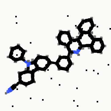 N#Cc1ccc2c3cc(-c4cccc(-c5nc6c7ccccc7c7ccccc7c6c6ccccc56)c4)ccc3n(-c3ccccc3)c2c1